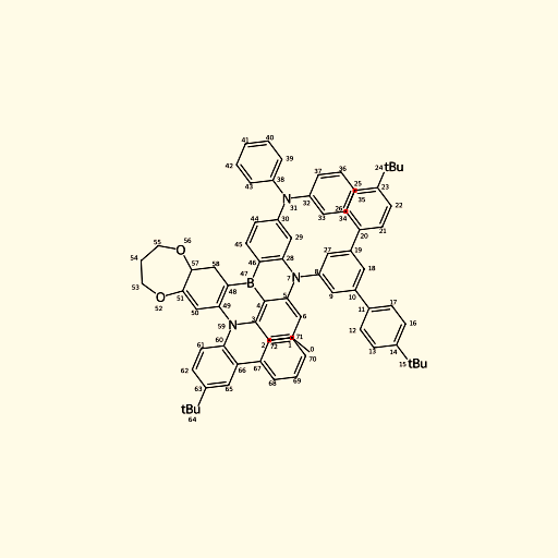 Cc1cc2c3c(c1)N(c1cc(-c4ccc(C(C)(C)C)cc4)cc(-c4ccc(C(C)(C)C)cc4)c1)c1cc(N(c4ccccc4)c4ccccc4)ccc1B3C1=C(C=C3OCCCOC3C1)N2c1ccc(C(C)(C)C)cc1-c1ccccc1